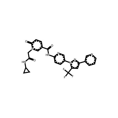 O=C(Cn1cc(C(=O)Nc2ccc(-n3nc(-c4cccnc4)cc3C(F)(F)F)cn2)ccc1=O)NC1CC1